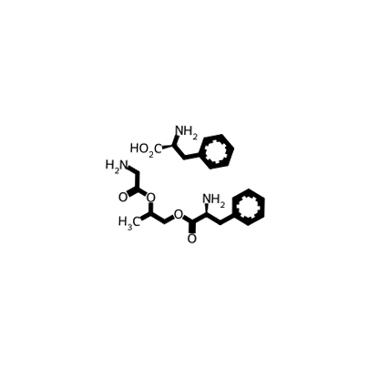 CC(COC(=O)[C@@H](N)Cc1ccccc1)OC(=O)CN.N[C@@H](Cc1ccccc1)C(=O)O